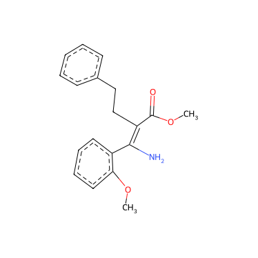 COC(=O)/C(CCc1ccccc1)=C(\N)c1ccccc1OC